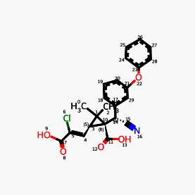 CC1(C)[C@H](C=C(Cl)C(=O)O)[C@@]1(C(=O)O)[C@@H](C#N)c1cccc(Oc2ccccc2)c1